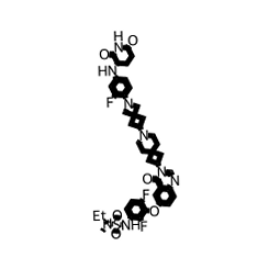 CCN(C)S(=O)(=O)Nc1ccc(F)c(Oc2ccc3ncn(C4CC5(CCN(C6CC7(C6)CN(c6ccc(NC8CCC(=O)NC8=O)cc6F)C7)CC5)C4)c(=O)c3c2)c1F